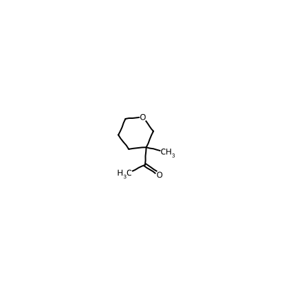 CC(=O)C1(C)CCCOC1